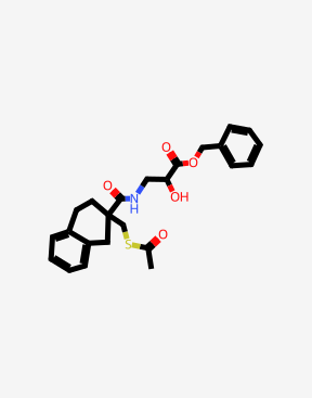 CC(=O)SCC1(C(=O)NCC(O)C(=O)OCc2ccccc2)CCc2ccccc2C1